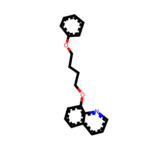 c1ccc(OCCCCOc2cccc3cccnc23)cc1